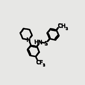 Cc1ccc(SNC2=C(N3CCCCC3)C=CC(C(F)(F)F)C2)cc1